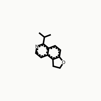 CC(C)c1nccc2c3c(ccc12)OCC3